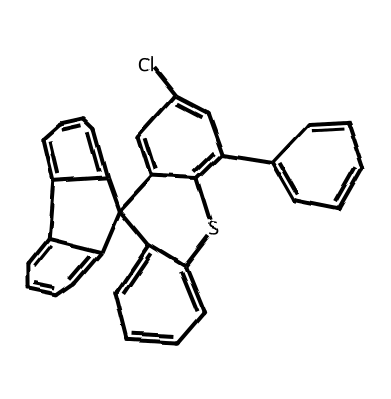 Clc1cc(-c2ccccc2)c2c(c1)C1(c3ccccc3S2)c2ccccc2-c2ccccc21